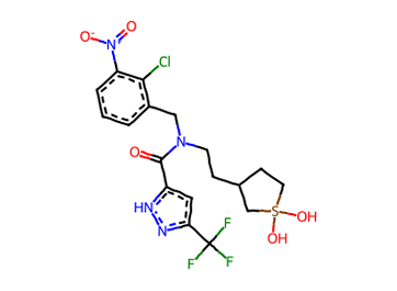 O=C(c1cc(C(F)(F)F)n[nH]1)N(CCC1CCS(O)(O)C1)Cc1cccc([N+](=O)[O-])c1Cl